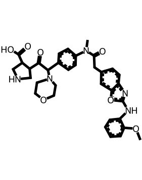 COc1ccccc1Nc1nc2ccc(CC(=O)N(C)c3ccc(C(C(=O)C4CNCC4C(=O)O)N4CCOCC4)cc3)cc2o1